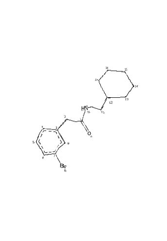 O=C(Cc1cccc(Br)c1)NCC1CCCCC1